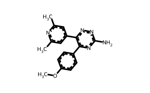 COc1ccc(-c2nc(N)nnc2-c2cc(C)nc(C)c2)cc1